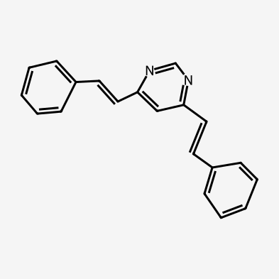 C(=Cc1cc(C=Cc2ccccc2)ncn1)c1ccccc1